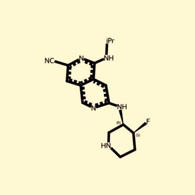 CC(C)Nc1nc(C#N)cc2cnc(N[C@@H]3CNCC[C@@H]3F)cc12